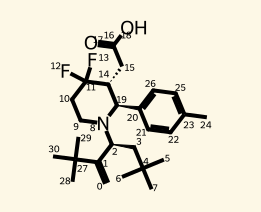 C=C([C@H](CC(C)(C)C)N1CCC(F)(F)[C@H](CC(=O)O)[C@H]1c1ccc(C)cc1)C(C)(C)C